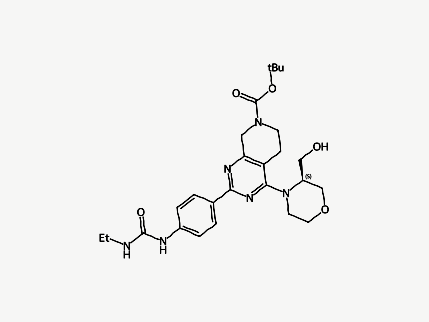 CCNC(=O)Nc1ccc(-c2nc3c(c(N4CCOC[C@@H]4CO)n2)CCN(C(=O)OC(C)(C)C)C3)cc1